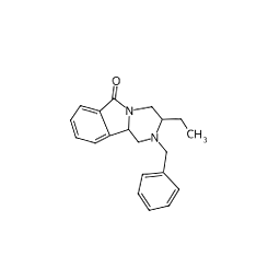 CCC1CN2C(=O)c3ccccc3C2CN1Cc1ccccc1